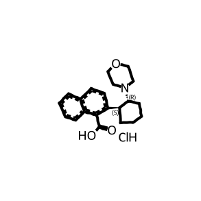 Cl.O=C(O)c1c([C@@H]2CCCC[C@H]2N2CCOCC2)ccc2ccccc12